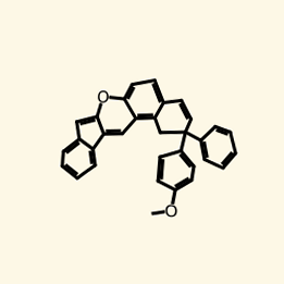 COc1ccc(C2(c3ccccc3)C=Cc3ccc4oc5cc6ccccc6c-5cc4c3C2)cc1